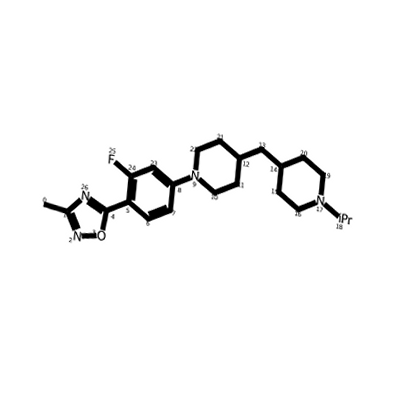 Cc1noc(-c2ccc(N3CCC(CC4CCN(C(C)C)CC4)CC3)cc2F)n1